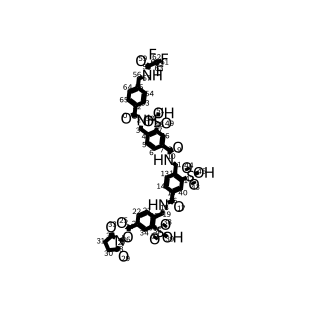 O=C(NCc1ccc(C(=O)NCc2ccc(C(=O)NCc3ccc(C(=O)ON4C(=O)CCC4=O)cc3S(=O)(=O)O)cc2S(=O)(=O)O)cc1S(=O)(=O)O)c1ccc(CNC(=O)C(F)(F)F)cc1